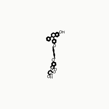 O=C1CC[C@H](N2Cc3cc(OCC#CC#CCOc4ccc(C5c6ccc(O)cc6CCC5c5ccccc5)cc4)ccc3C2=O)C(=O)N1